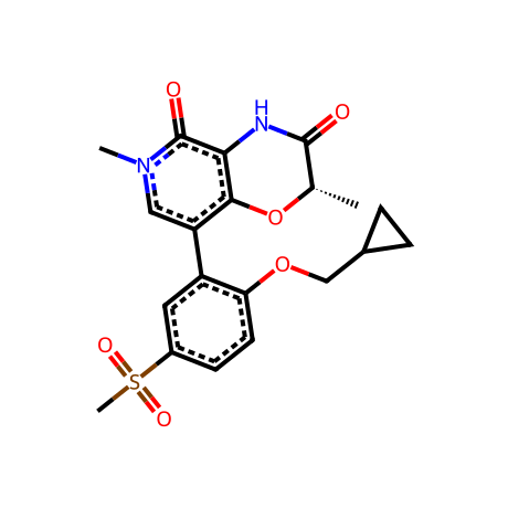 C[C@@H]1Oc2c(-c3cc(S(C)(=O)=O)ccc3OCC3CC3)cn(C)c(=O)c2NC1=O